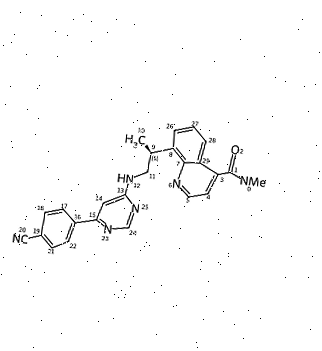 CNC(=O)c1ccnc2c([C@H](C)CNc3cc(-c4ccc(C#N)cc4)ncn3)cccc12